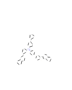 c1ccc(-c2ccc(N(c3ccc(-c4ccc5sc6c7ccccc7ccc6c5c4)cc3)c3cccc(-c4ccc5ccccc5c4)c3)cc2)cc1